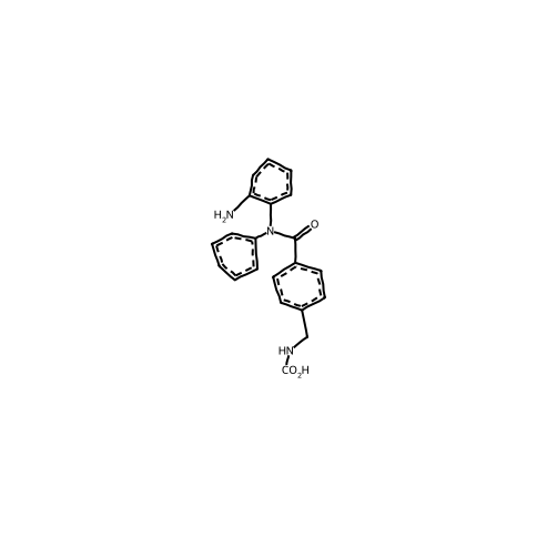 Nc1ccccc1N(C(=O)c1ccc(CNC(=O)O)cc1)c1ccccc1